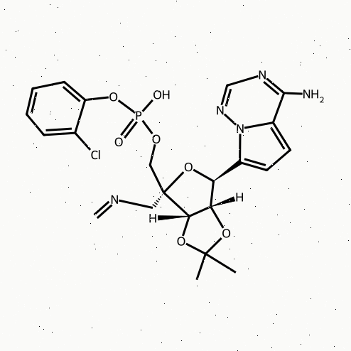 C=NC[C@]1(COP(=O)(O)Oc2ccccc2Cl)O[C@@H](c2ccc3c(N)ncnn23)[C@@H]2OC(C)(C)O[C@@H]21